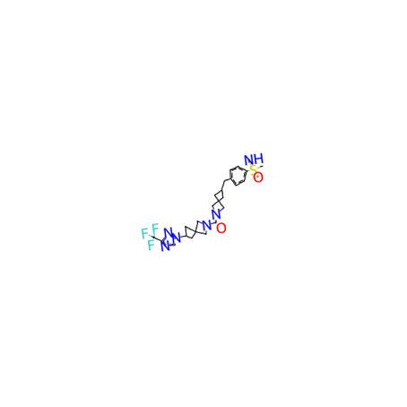 CS(=N)(=O)c1ccc(CC2CC3(C2)CN(C(=O)N2CC4(CC(n5cnc(C(F)(F)F)n5)C4)C2)C3)cc1